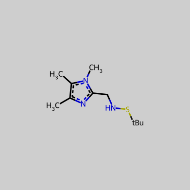 Cc1nc(CNSC(C)(C)C)n(C)c1C